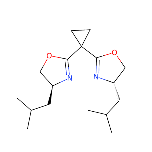 CC(C)C[C@H]1COC(C2(C3=N[C@@H](CC(C)C)CO3)CC2)=N1